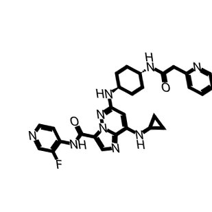 O=C(Cc1ccccn1)N[C@H]1CC[C@H](Nc2cc(NC3CC3)c3ncc(C(=O)Nc4ccncc4F)n3n2)CC1